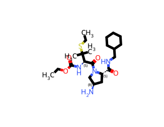 CCOC(=O)N[C@@H](C(=O)N1C[C@H](N)C[C@H]1C(=O)NCC1CCCCC1)C(C)(C)SCC